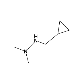 CN(C)NCC1CC1